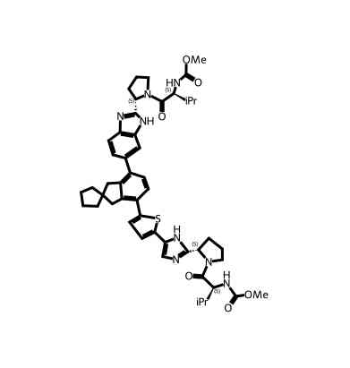 COC(=O)N[C@H](C(=O)N1CCC[C@H]1c1ncc(-c2ccc(-c3ccc(-c4ccc5nc([C@@H]6CCCN6C(=O)[C@@H](NC(=O)OC)C(C)C)[nH]c5c4)c4c3CC3(CCCC3)C4)s2)[nH]1)C(C)C